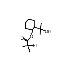 CCC(C)(I)C(=O)OC1CCCCC1C(C)(C)O